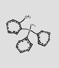 Cc1ccccc1S(C)(c1ccccc1)c1ccccc1